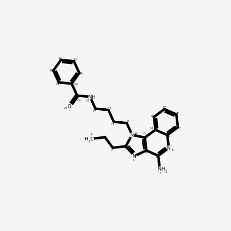 CCCc1nc2c(N)nc3ccccc3c2n1CCCCNC(=O)c1ccccc1